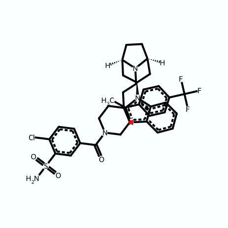 Cc1nc2ccccc2n1[C@H]1C[C@H]2CC[C@@H](C1)N2CCC1(c2ccc(C(F)(F)F)cc2)CCN(C(=O)c2ccc(Cl)c(S(N)(=O)=O)c2)CC1